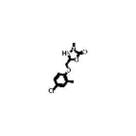 Cc1cc(Cl)ccc1OCC1NN(C)C(=O)O1